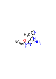 Cc1ccncc1-c1cc2cc(NC(=O)[C@H]3C[C@@H]3C#N)ncc2c(N)n1